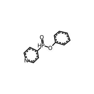 O=[PH](Oc1ccccc1)c1ccncc1